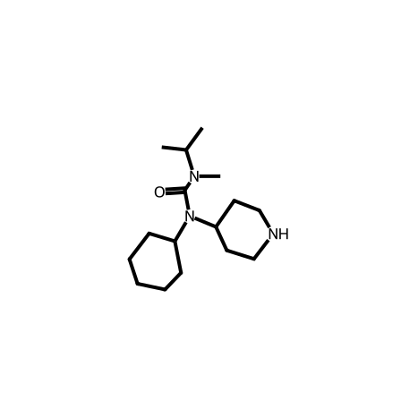 CC(C)N(C)C(=O)N(C1CCCCC1)C1CCNCC1